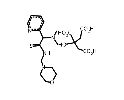 CN(C)C(C(=S)NCN1CCOCC1)c1ccccn1.O=C(O)CC(O)(CC(=O)O)C(=O)O